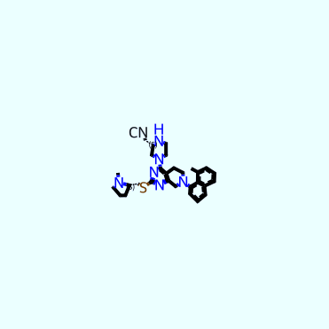 Cc1cccc2cccc(N3CCc4c(nc(SC[C@@H]5CCCN5C)nc4N4CCN[C@@H](CC#N)C4)C3)c12